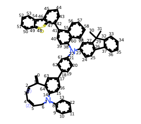 C=C1/C=C\C=C/CN(c2ccccc2)c2ccc(-c3ccc(N(c4ccc5c(c4)C(C)(C)c4ccccc4-5)c4ccc(-c5cccc6c5sc5ccccc56)c5ccccc45)cc3)cc21